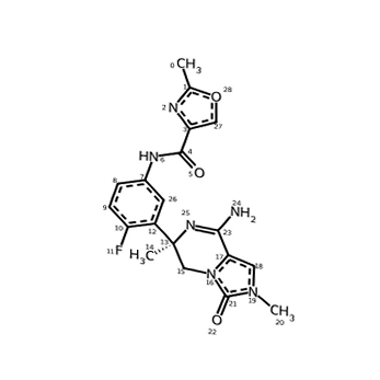 Cc1nc(C(=O)Nc2ccc(F)c([C@]3(C)Cn4c(cn(C)c4=O)C(N)=N3)c2)co1